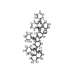 c1ccc(N2c3ccccc3B3c4cc5c(cc4Oc4cccc2c43)c2ccc(N(c3ccccc3)c3nccc4ccccc34)cc2n5-c2ccccc2)cc1